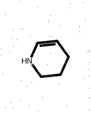 [C]1=CCCCN1